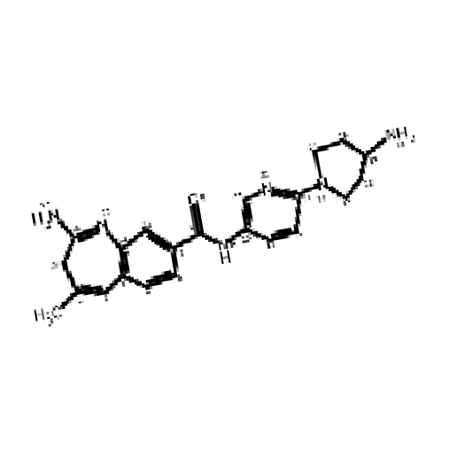 CC1=Cc2ccc(C(=O)Nc3ccc(N4CCC(N)CC4)nc3)cc2N=C(N)C1